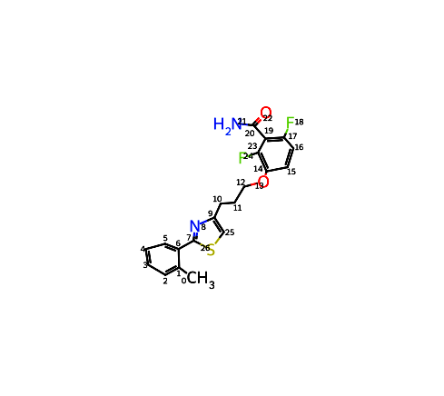 Cc1ccccc1-c1nc(CCCOc2ccc(F)c(C(N)=O)c2F)cs1